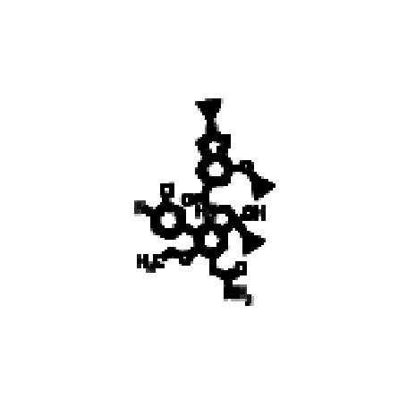 CCOc1c(CC(N)=O)cc([C@@](O)(CNC(=O)c2cc(OC3CC3)c3nn(C4CC4)cc3c2)C2CC2)nc1-c1ccc(F)c(Cl)c1